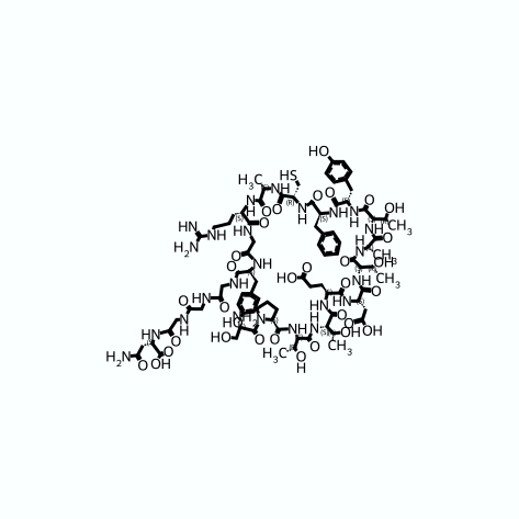 C[C@H](NC(=O)[C@H](CS)NC(=O)[C@H](Cc1ccccc1)NC(=O)[C@H](Cc1ccc(O)cc1)NC(=O)[C@@H](NC(=O)[C@H](C)NC(=O)[C@@H](NC(=O)[C@H](CC(=O)O)NC(=O)[C@H](CCC(=O)O)NC(=O)[C@@H](NC(=O)[C@@H](NC(=O)[C@@H]1CCCN1C(=O)[C@@H](N)CO)[C@@H](C)O)[C@@H](C)O)[C@@H](C)O)[C@@H](C)O)C(=O)N[C@@H](CCCNC(=N)N)C(=O)NCC(=O)N[C@@H](Cc1ccc(O)cc1)C(=O)NCC(=O)NCC(=O)NCC(=O)N[C@@H](CC(N)=O)C(=O)O